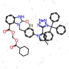 CCOC1Nc2cccc(C(=O)OCOC(=O)C3CCCCC3)c2N1Cc1ccc(-n2cc(C)cc2-c2nnnn2C(c2ccccc2)(c2ccccc2)c2ccccc2)cc1